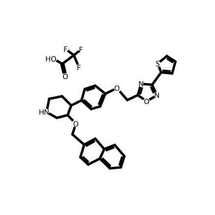 O=C(O)C(F)(F)F.c1csc(-c2noc(COc3ccc(C4CCNCC4OCc4ccc5ccccc5c4)cc3)n2)c1